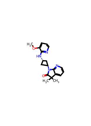 COc1cccnc1N[C@H]1C[C@H](N2C(=O)C(C)(C)c3cccnc32)C1